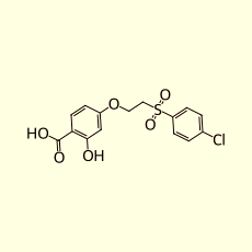 O=C(O)c1ccc(OCCS(=O)(=O)c2ccc(Cl)cc2)cc1O